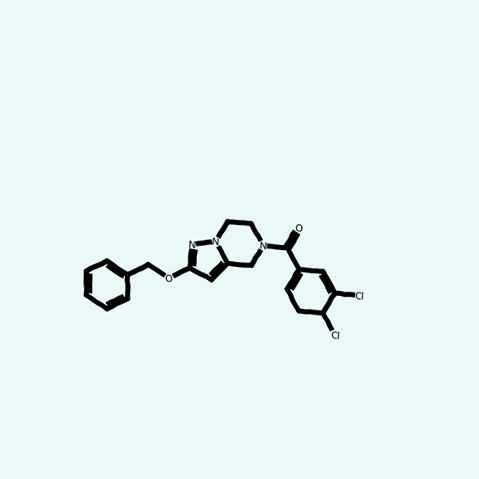 O=C(C1=CCC(Cl)C(Cl)=C1)N1CCn2nc(OCc3ccccc3)cc2C1